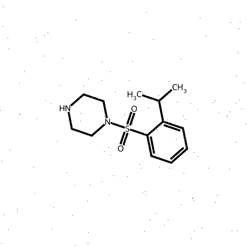 CC(C)c1ccccc1S(=O)(=O)N1CCNCC1